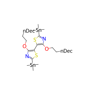 CCCCCCCCCCCCOc1n[c]([Sn]([CH3])([CH3])[CH3])sc1-c1s[c]([Sn]([CH3])([CH3])[CH3])nc1OCCCCCCCCCCCC